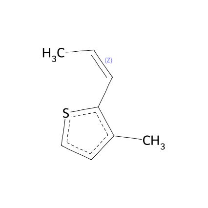 C/C=C\c1sccc1C